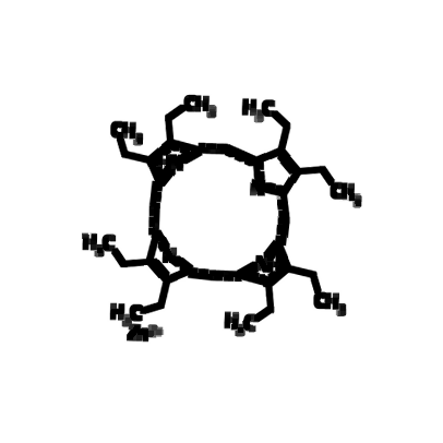 CCC1=C(CC)c2cc3[nH]c(cc4nc(cc5[nH]c(cc1n2)c(CC)c5CC)C(CC)=C4CC)c(CC)c3CC.[Zn+2]